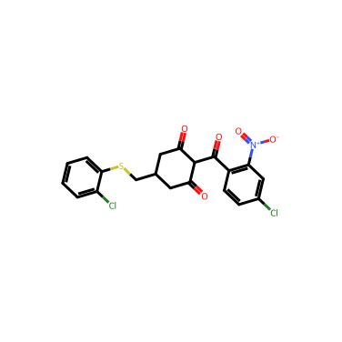 O=C1CC(CSc2ccccc2Cl)CC(=O)C1C(=O)c1ccc(Cl)cc1[N+](=O)[O-]